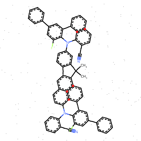 CC1(C)c2cc(N(c3ccccc3C#N)c3c(F)cc(-c4ccccc4)cc3-c3ccccc3)ccc2-c2cc3ccc(N(c4ccccc4C#N)c4c(F)cc(-c5ccccc5)cc4-c4ccccc4)cc3cc21